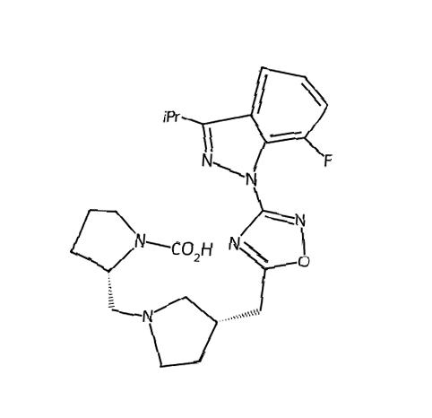 CC(C)c1nn(-c2noc(C[C@@H]3CCN(C[C@@H]4CCCN4C(=O)O)C3)n2)c2c(F)cccc12